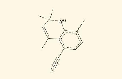 CC1=CC(C)(C)Nc2c(C)ccc(C#N)c21